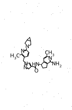 Cc1cc2c(c(N)n1)CC[C@H]2NC(=O)c1cnn(Cc2ccc(N3CC4CC4C3)nc2C)c1